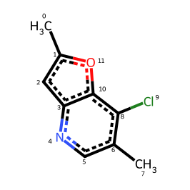 Cc1cc2ncc(C)c(Cl)c2o1